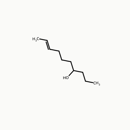 CC=CCCCC(O)CCC